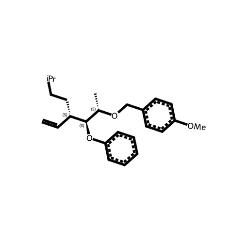 C=C[C@H](CCC(C)C)[C@H](Oc1ccccc1)[C@H](C)OCc1ccc(OC)cc1